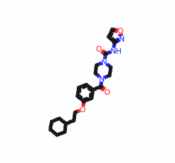 O=C(Nc1ccon1)N1CCN(C(=O)c2cccc(OCCC3CCCCC3)c2)CC1